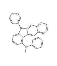 CN(c1ccccc1)c1cccc2c1c1cc3ccccc3cc1n2-c1ccccc1